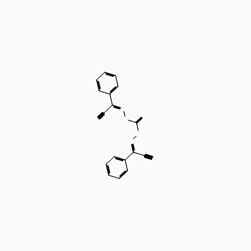 N#CC(=NOC(=O)ON=C(C#N)c1ccccc1)c1ccccc1